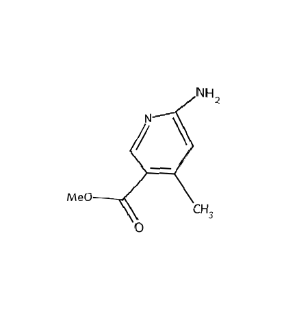 COC(=O)c1cnc(N)cc1C